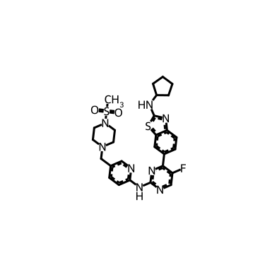 CS(=O)(=O)N1CCN(Cc2ccc(Nc3ncc(F)c(-c4ccc5nc(NC6CCCC6)sc5c4)n3)nc2)CC1